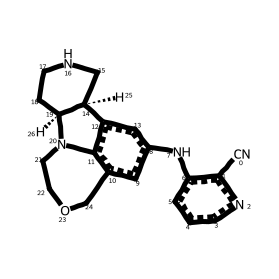 N#Cc1ncccc1Nc1cc2c3c(c1)[C@@H]1CNCC[C@@H]1N3CCOC2